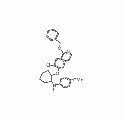 COc1ccc(N(C)C2CCCCC2Oc2cc3ccnc(OCc4ccccc4)c3cc2Cl)cc1